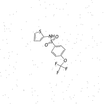 O=S(=O)(Nc1cccs1)c1ccc(OC(F)(F)F)cc1